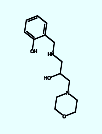 Oc1ccccc1CNCC(O)CN1CCOCC1